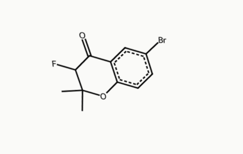 CC1(C)Oc2ccc(Br)cc2C(=O)C1F